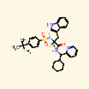 CC(Cc1c[nH]c2ccccc12)(NS(=O)(=O)c1ccc(C(C)(C)C)cc1)C(=O)NC(c1ccccn1)C1CCCCC1